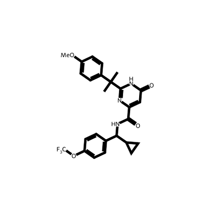 COc1ccc(C(C)(C)c2nc(C(=O)NC(c3ccc(OC(F)(F)F)cc3)C3CC3)cc(=O)[nH]2)cc1